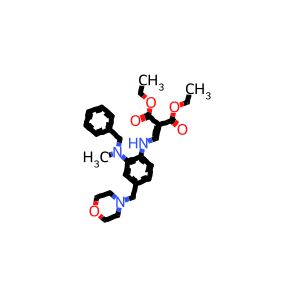 CCOC(=O)C(=CNc1ccc(CN2CCOCC2)cc1N(C)Cc1ccccc1)C(=O)OCC